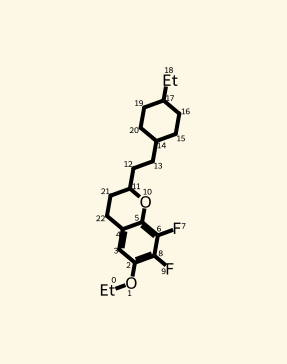 CCOc1cc2c(c(F)c1F)OC(CCC1CCC(CC)CC1)CC2